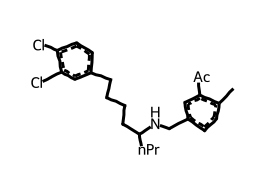 CCCC(CCCCc1ccc(Cl)c(Cl)c1)NCc1ccc(C)c(C(C)=O)c1